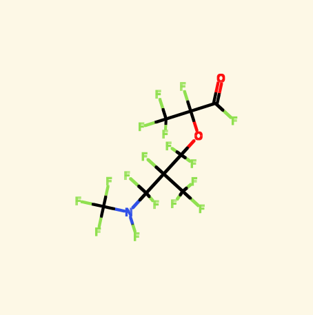 O=C(F)C(F)(OC(F)(F)C(F)(C(F)(F)F)C(F)(F)N(F)C(F)(F)F)C(F)(F)F